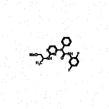 COCC(C)Nc1nccc(N(C(=O)Nc2cc(F)ccc2F)c2ccccc2)n1